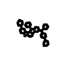 c1ccc(-c2ccc(N(c3ccccc3)c3ccc4c(c3)c3ccc5sc6ccc(-c7ccccc7)cc6c5c3n4-c3ccccc3)cc2)cc1